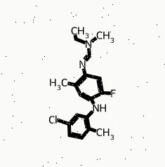 CCN(C)C=Nc1cc(F)c(Nc2cc(Cl)ccc2C)cc1C